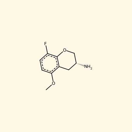 COc1ccc(F)c2c1C[C@@H](N)CO2